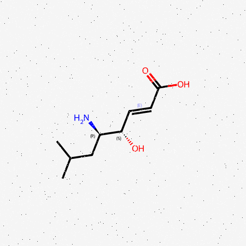 CC(C)C[C@@H](N)[C@@H](O)/C=C/C(=O)O